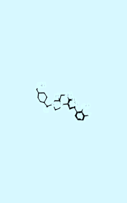 O=C(C1CCC(CO)CC1)N1CCN2c3cc(-c4cccc(F)c4O)nnc3NC[C@H]2C1